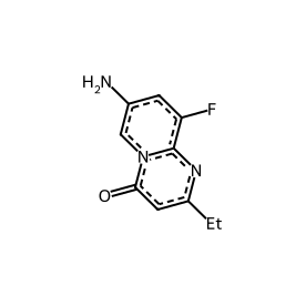 CCc1cc(=O)n2cc(N)cc(F)c2n1